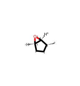 C[C@@H]1CC[C@H]2O[C@@H]12